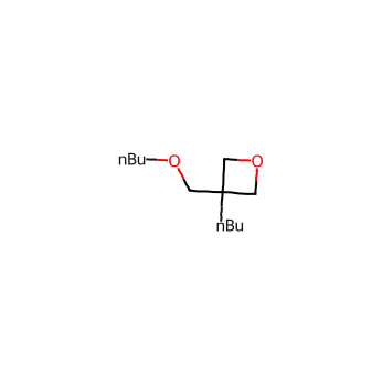 CCCCOCC1(CCCC)COC1